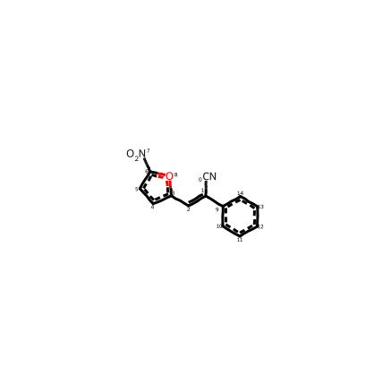 N#CC(=Cc1ccc([N+](=O)[O-])o1)c1ccccc1